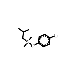 [Li][c]1ccc(O[Si](C)(C)CC(C)C)cc1